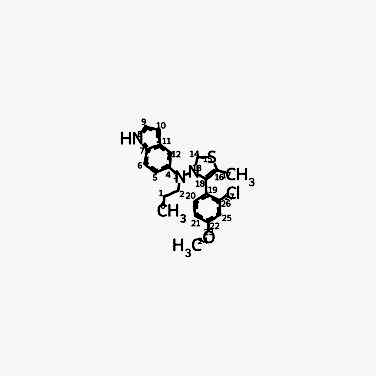 CCCN(c1ccc2[nH]ccc2c1)N1CSC(C)=C1c1ccc(OC)cc1Cl